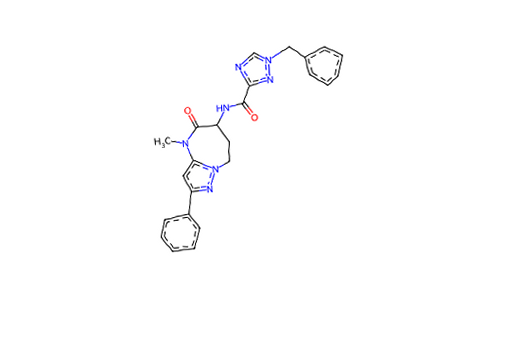 CN1C(=O)C(NC(=O)c2ncn(Cc3ccccc3)n2)CCn2nc(-c3ccccc3)cc21